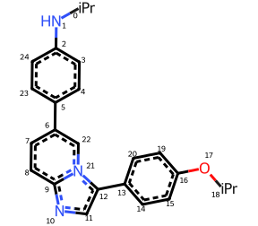 CC(C)Nc1ccc(-c2ccc3ncc(-c4ccc(OC(C)C)cc4)n3c2)cc1